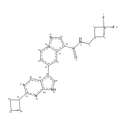 O=C(NCC1CC(F)(F)C1)c1cnn2ccc(-c3c[nH]c4nc(C5CCC5)ncc34)cc12